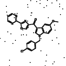 COc1ccc2c(c1)c(C(=O)c1coc(-c3ncccn3)n1)cn2Cc1ccc(Cl)cc1